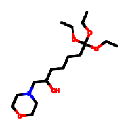 CCO[Si](CCCCC(O)CN1CCOCC1)(OCC)OCC